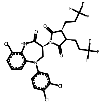 O=C1Nc2c(Cl)cccc2N(c2ccc(Cl)c(Cl)c2)C[C@@H]1N1C(=O)[C@@H](CCC(F)(F)F)[C@@H](CCC(F)(F)F)C1=O